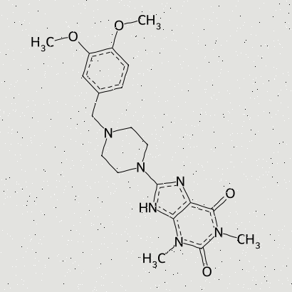 COc1ccc(CN2CCN(c3nc4c(=O)n(C)c(=O)n(C)c4[nH]3)CC2)cc1OC